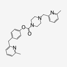 Cc1cccc(Cc2ccc(OC(=O)N3CCN(Cc4cccc(C)n4)CC3)cc2)n1